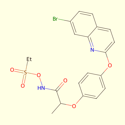 CCS(=O)(=O)ONC(=O)C(C)Oc1ccc(Oc2ccc3ccc(Br)cc3n2)cc1